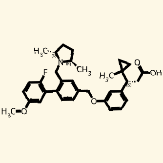 COc1ccc(F)c(-c2ccc(COc3cccc([C@@H](CC(=O)O)C4(C)CC4)c3)cc2CN2[C@H](C)CC[C@H]2C)c1